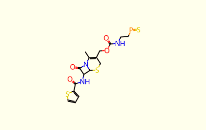 CC1=C(COC(=O)NCCP=S)CSC2C(NC(=O)c3cccs3)C(=O)N12